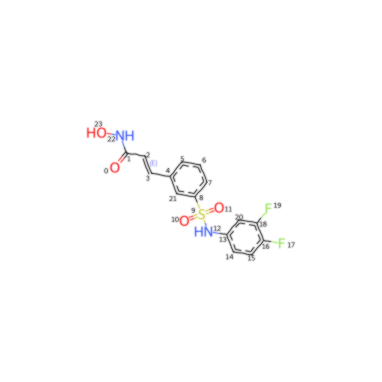 O=C(/C=C/c1cccc(S(=O)(=O)Nc2ccc(F)c(F)c2)c1)NO